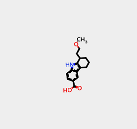 COCCC1CCCc2c1[nH]c1ccc(C(=O)O)cc21